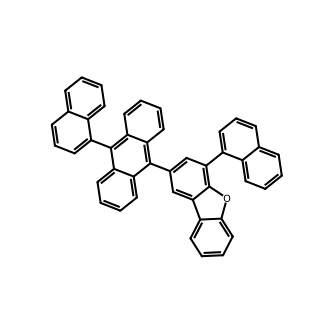 c1ccc2c(-c3c4ccccc4c(-c4cc(-c5cccc6ccccc56)c5oc6ccccc6c5c4)c4ccccc34)cccc2c1